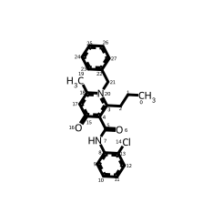 CCCc1c(C(=O)Nc2ccccc2Cl)c(=O)cc(C)n1Cc1ccccc1